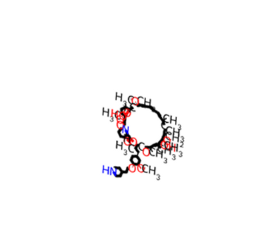 C=C1[C@H](C)C[C@H](C)/C=C/C=C/C=C(\C)[C@@H](OC)C[C@@H]2CC[C@@H](C)[C@@](O)(O2)C(=O)C(=O)N2CCCC[C@H]2C(=O)O[C@H]([C@H](C)C[C@@H]2CC[C@@H](OCCC3CCNCC3)[C@H](OC)C2)CC(=O)[C@H](C)/C=C(\C)[C@@H](O)[C@H]1OC